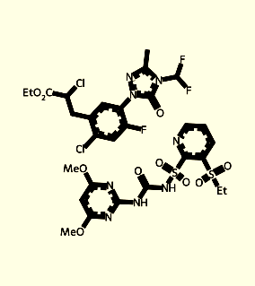 CCOC(=O)C(Cl)Cc1cc(-n2nc(C)n(C(F)F)c2=O)c(F)cc1Cl.CCS(=O)(=O)c1cccnc1S(=O)(=O)NC(=O)Nc1nc(OC)cc(OC)n1